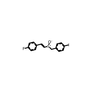 [O-][S+](C=Cc1ccc(F)cc1)Cc1ccc(I)cc1